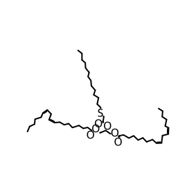 CCCCC/C=C\C/C=C\CCCCCCCC(=O)OCC(COC(=O)CCCCCCC/C=C\C/C=C\CCCCC)OC(=O)CSCCCCCCCCCCCCCC